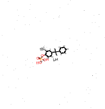 CC(C)(C)c1cc(C(C)(C)c2ccccc2)ccc1OP(=O)(O)O.[LiH]